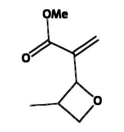 C=C(C(=O)OC)C1OCC1C